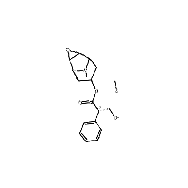 CCl.CN1C2CC(OC(=O)[C@H](CO)c3ccccc3)CC1C1OC12